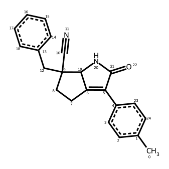 Cc1ccc(C2=C3CCC(C#N)(Cc4ccccc4)C3NC2=O)cc1